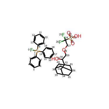 FS(c1ccccc1)(c1ccccc1)c1ccccc1.O=S(=O)(O)C(F)(F)COCC(O)C12CC3CC(CC(C3)C1)C2